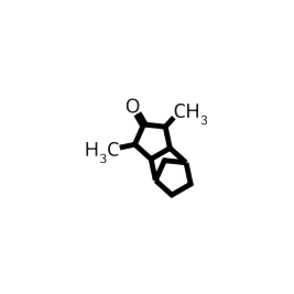 CC1C(=O)C(C)C2C3CCC(C3)C12